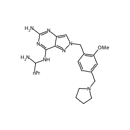 CCCC(N)Nc1nc(N)nc2cn(Cc3ccc(CN4CCCC4)cc3OC)nc12